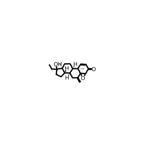 C=C1C[C@@H]2[C@@H](CC[C@@]3(C)[C@H]2CCC3(O)CC)[C@@]2(C)C=CC(=O)C3OC132